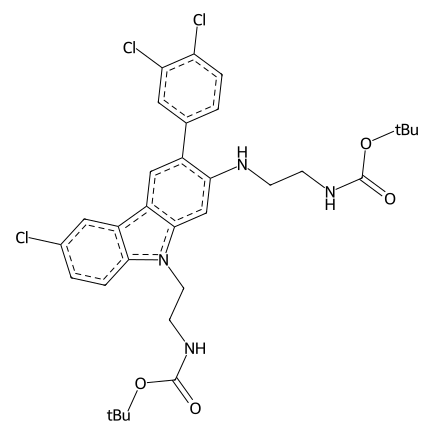 CC(C)(C)OC(=O)NCCNc1cc2c(cc1-c1ccc(Cl)c(Cl)c1)c1cc(Cl)ccc1n2CCNC(=O)OC(C)(C)C